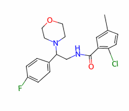 Cc1ccc(Cl)c(C(=O)NCC(c2ccc(F)cc2)N2CCOCC2)c1